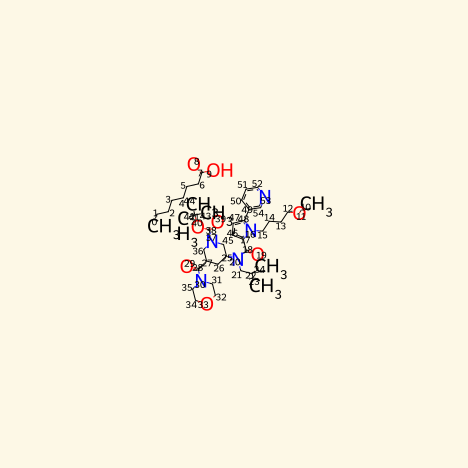 CCCCCCCC(=O)O.COCCCCn1c(C(=O)N(CC(C)C)[C@H]2C[C@@H](C(=O)N3CCOCC3)CN(C(=O)OC(C)(C)C)C2)ccc1-c1cccnc1